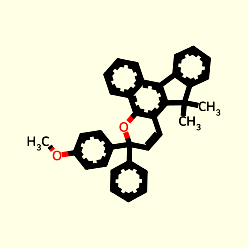 COc1ccc(C2(c3ccccc3)C=Cc3c4c(c5ccccc5c3O2)-c2ccccc2C4(C)C)cc1